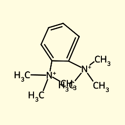 C[N+](C)(C)c1ccccc1[N+](C)(C)C